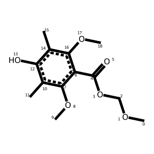 COCOC(=O)c1c(OC)c(C)c(O)c(C)c1OC